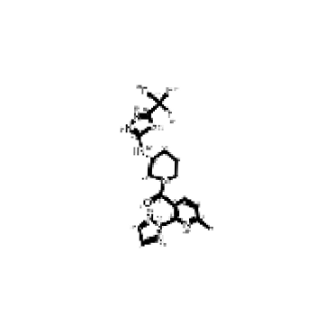 Cc1ccc(C(=O)N2CCC[C@@H](Nc3nnc(C(F)(F)F)s3)C2)c(-n2nccn2)n1